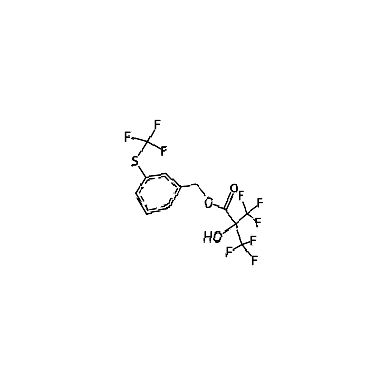 O=C(OCc1cccc(SC(F)(F)F)c1)C(O)(C(F)(F)F)C(F)(F)F